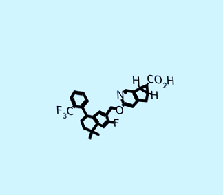 CC1(C)CCC(c2ccccc2C(F)(F)F)c2cc(COc3cc4c(cn3)[C@H]3[C@@H](C4)[C@@H]3C(=O)O)c(F)cc21